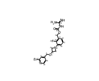 CCc1cc(COC2CN(c3cccc(COC(=O)NC(=N)N)c3F)C2)ccn1